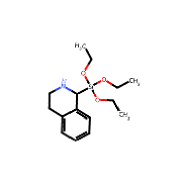 CCO[Si](OCC)(OCC)C1NCCc2ccccc21